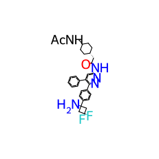 CC(=O)N[C@H]1CC[C@H](CC(=O)Nc2cc(-c3ccccc3)c(-c3ccc(C4(N)CC(F)(F)C4)cc3)nn2)CC1